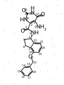 Nc1c(C(=O)N[C@@H]2CCc3c(OCc4ccccc4)cccc32)[nH]c(=O)[nH]c1=O